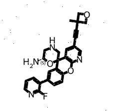 CC1(C#Cc2cnc3c(c2)C2(CNC[C@@H](N)O2)c2cc(-c4cccnc4F)ccc2O3)COC1